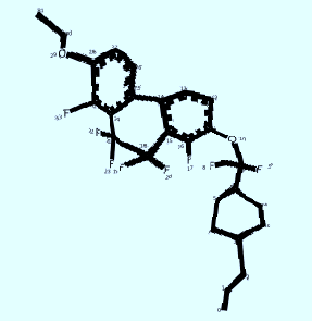 CCCC1CCC(C(F)(F)Oc2ccc3c(c2F)C(F)(F)C(F)(F)c2c-3ccc(OCC)c2F)CC1